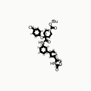 CC(C)(C)OC(=O)N1CCC(Oc2ccc(Cl)cc2)(C(=O)Nc2cccc(-c3csc(-c4noc(=O)[nH]4)c3)c2)CC1